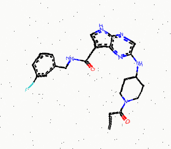 C=CC(=O)N1CCC(Nc2cnc3[nH]cc(C(=O)NCc4cccc(F)c4)c3n2)CC1